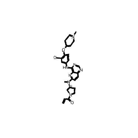 C=CC(=O)N1CC[C@H](N(C)c2ccc3ncnc(Nc4ccc(OC5CCN(C)CC5)c(Cl)c4)c3n2)C1